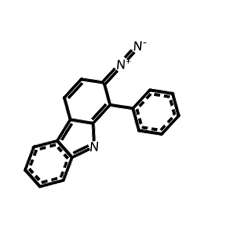 [N-]=[N+]=C1C=CC2=c3ccccc3=NC2=C1c1ccccc1